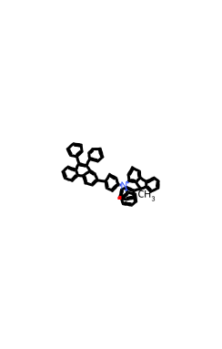 CC1(c2ccccc2)c2ccccc2-c2cccc(N(c3ccccc3)c3ccc(-c4ccc5c(c4)c(-c4ccccc4)c(-c4ccccc4)c4ccccc45)cc3)c21